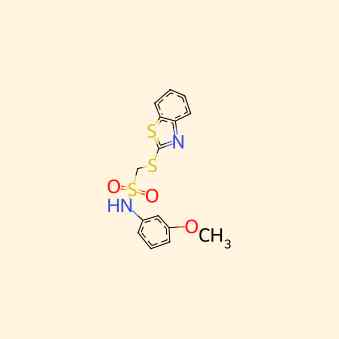 COc1cccc(NS(=O)(=O)CSc2nc3ccccc3s2)c1